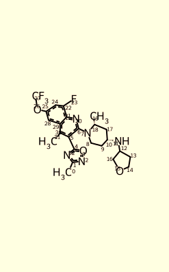 Cc1noc(-c2c(N3CC[C@@H](NC4CCOC4)C[C@H]3C)nc3c(F)cc(OC(F)(F)F)cc3c2C)n1